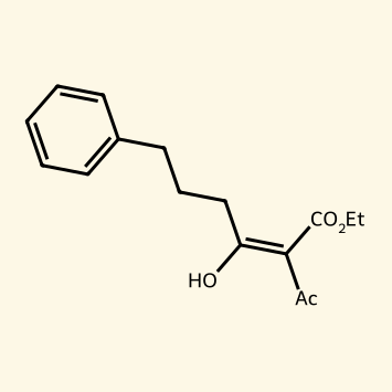 CCOC(=O)/C(C(C)=O)=C(/O)CCCc1ccccc1